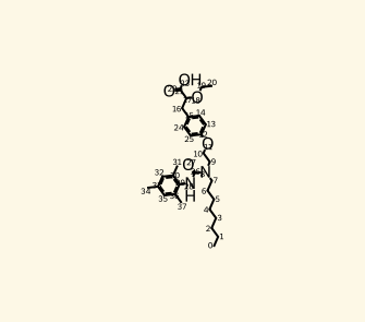 CCCCCCCCN(CCOc1ccc(CC(OCC)C(=O)O)cc1)C(=O)Nc1c(C)cc(C)cc1C